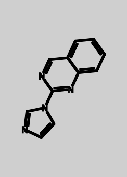 c1ccc2nc(-n3ccnc3)ncc2c1